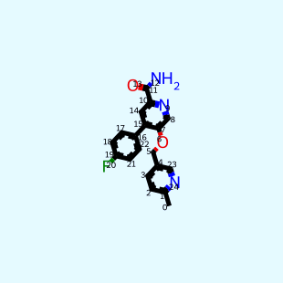 Cc1ccc(COc2cnc(C(N)=O)cc2-c2ccc(F)cc2)cn1